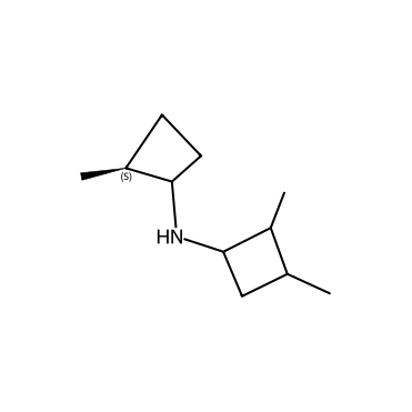 CC1CC(NC2CC[C@@H]2C)C1C